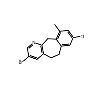 Cc1cc(Cl)cc2c1Cc1ncc(Br)cc1CC2